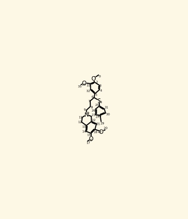 COc1ccc(C(CCCN2CCc3cc(OC)c(OC)cc3C2)Sc2ccc(C)cc2)cc1OC